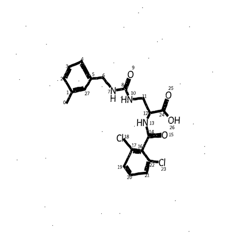 Cc1cccc(CNC(=O)NCC(NC(=O)c2c(Cl)cccc2Cl)C(=O)O)c1